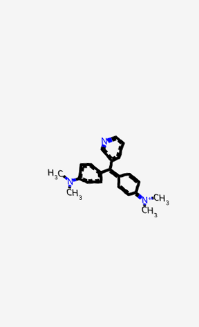 CN(C)c1ccc(C(=C2C=CC(=[N+](C)C)C=C2)c2cccnc2)cc1